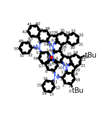 CC(C)(C)c1cc(N(c2ccccc2)c2ccccc2)c2c(c1)c1cc(C(C)(C)C)cc3c4c5c6c7ccccc7cc7c8cc9ccccc9c(N(c9ccccc9)c9ccccc9)c8n(c5ncc4n2c13)c76